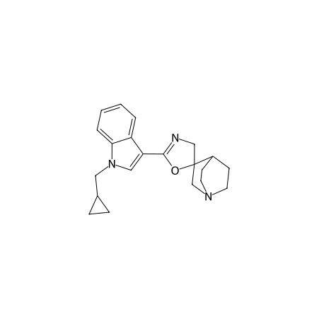 c1ccc2c(c1)c(C1=NCC3(CN4CCC3CC4)O1)cn2CC1CC1